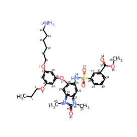 CCCOc1cc(OCCCCCCN)cc(Oc2cc3c(cc2NS(=O)(=O)c2cccc(C(=O)OC)c2)n(C)c(=O)n3C)c1